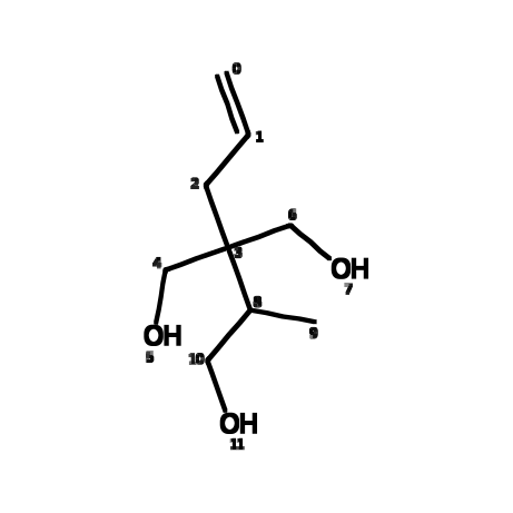 C=CCC(CO)(CO)C(C)CO